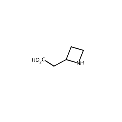 O=C(O)CC1CCN1